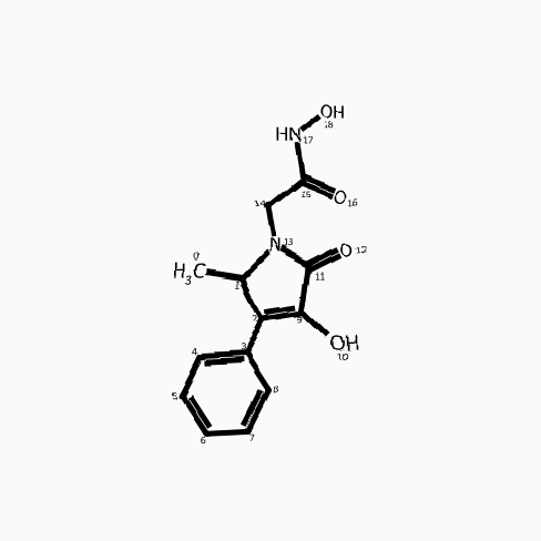 CC1C(c2ccccc2)=C(O)C(=O)N1CC(=O)NO